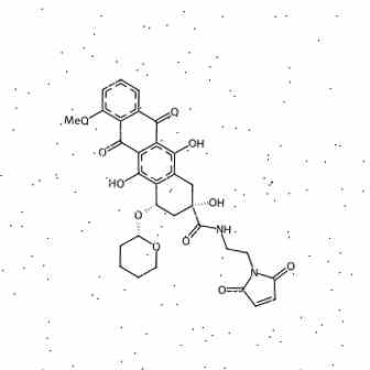 COc1cccc2c1C(=O)c1c(O)c3c(c(O)c1C2=O)C[C@@](O)(C(=O)NCCN1C(=O)C=CC1=O)C[C@@H]3O[C@H]1CCCCO1